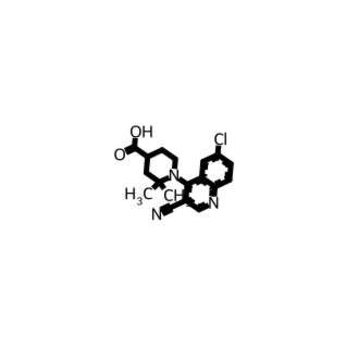 CC1(C)CC(C(=O)O)CCN1c1c(C#N)cnc2ccc(Cl)cc12